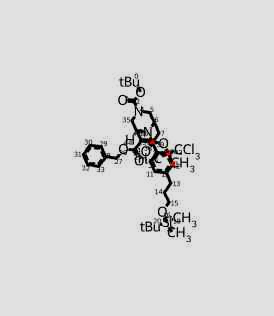 CC(C)(C)OC(=O)N1CC2CC(c3ccc(CCCO[Si](C)(C)C(C)(C)C)cc3)=C(C(=O)OCc3ccccc3)[C@@H](C1)N2C(=O)OC(C)(C)C(Cl)(Cl)Cl